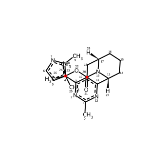 Cc1nc(-c2ccnn2C)c2c(n1)[C@H]1CCC[C@@H](C2)N1C(=O)OC(C)(C)C